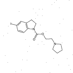 O=C(OCCN1CCCC1)N1CCc2cc(I)ccc21